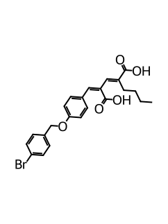 CCCCC(=CC(=Cc1ccc(OCc2ccc(Br)cc2)cc1)C(=O)O)C(=O)O